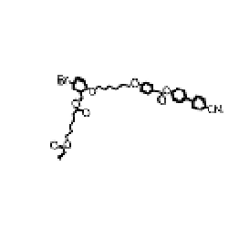 C=CC(=O)OCCCCCC(=O)OCc1cc(Br)ccc1OCCCCCCOc1ccc(C(=O)Oc2ccc(-c3ccc(C#N)cc3)cc2)cc1